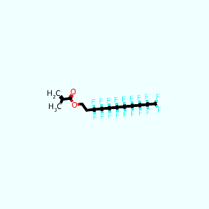 C=C(C)C(=O)OCCC(F)(F)C(F)(F)C(F)(F)C(F)(F)C(F)(F)C(F)(F)C(F)(F)C(F)(F)C(F)F